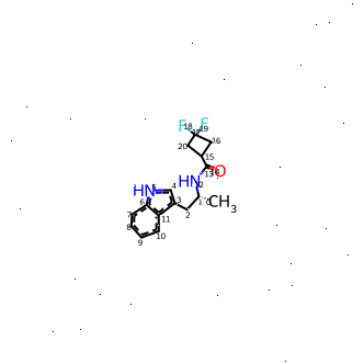 C[C@H](Cc1c[nH]c2ccccc12)NC(=O)C1CC(F)(F)C1